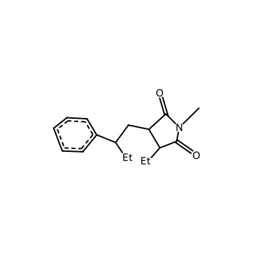 CCC(CC1C(=O)N(C)C(=O)C1CC)c1ccccc1